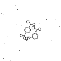 O=C(Cl)c1ccc(C(=O)Cl)cc1.O=C(Cl)c1cccc([N+](=O)[O-])c1